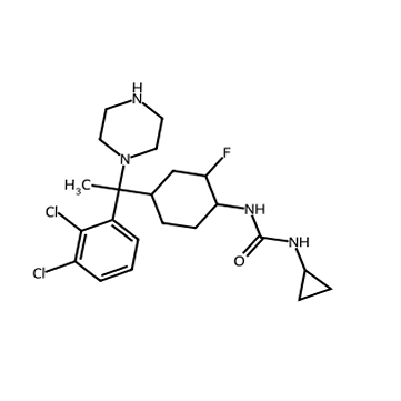 CC(c1cccc(Cl)c1Cl)(C1CCC(NC(=O)NC2CC2)C(F)C1)N1CCNCC1